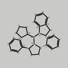 c1ccc([C@@H]2CC[C@@H](c3ccccc3)P2N(C2CCCC2)P2CCc3ccccc32)cc1